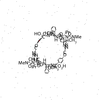 CN[C@@H](C)C(=O)N[C@H](C(=O)N1C[C@@H]2C[C@H]1C(=O)N[C@@H](Cc1ccccc1)C(=O)N(C)[C@H](C(=O)O)Cc1ccc(cc1)OCc1cn(nn1)[C@H]1C[C@@H](C(=O)N[C@@H](Cc3ccccc3)C(=O)N(C)[C@H](C(=O)O)Cc3ccc(cc3)OCc3cn2nn3)N(C(=O)[C@@H](NC(=O)[C@H](C)NC)C(C)C)C1)C(C)C